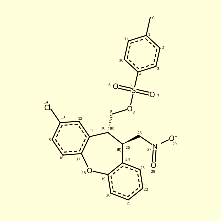 Cc1ccc(S(=O)(=O)OC[C@H]2c3cc(Cl)ccc3Oc3ccccc3[C@@H]2C[N+](=O)[O-])cc1